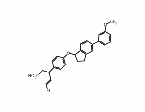 CCC=C[C@@H](CC(=O)O)c1ccc(OC2CCc3cc(-c4cccc(OC(F)(F)F)c4)ccc32)cc1